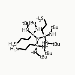 CC(C)(C)N[Si](CC[SiH3])(NC(C)(C)C)N([Si](CC[SiH3])(NC(C)(C)C)NC(C)(C)C)[Si](CC[SiH3])(NC(C)(C)C)NC(C)(C)C